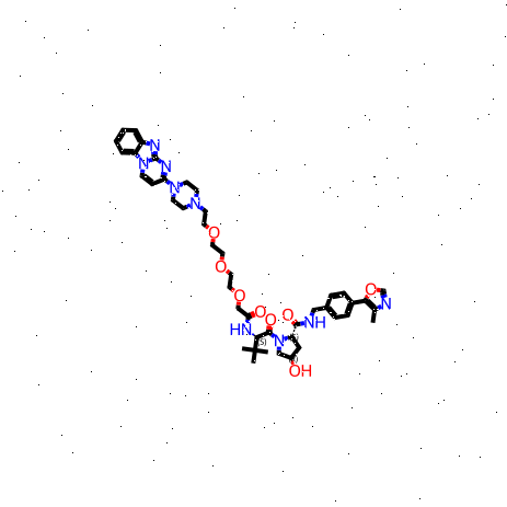 Cc1ncoc1-c1ccc(CNC(=O)[C@@H]2C[C@@H](O)CN2C(=O)[C@@H](NC(=O)COCCOCCOCCN2CCN(c3ccn4c(n3)nc3ccccc34)CC2)C(C)(C)C)cc1